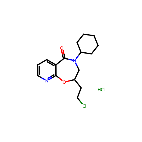 Cl.O=C1c2cccnc2OC(CCCl)CN1C1CCCCC1